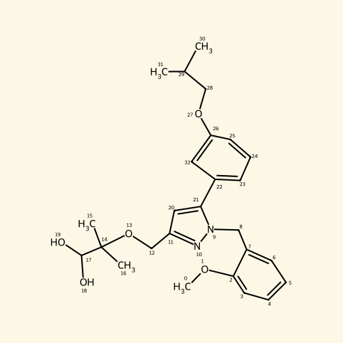 COc1ccccc1Cn1nc(COC(C)(C)C(O)O)cc1-c1cccc(OCC(C)C)c1